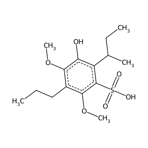 CCCc1c(OC)c(O)c(C(C)CC)c(S(=O)(=O)O)c1OC